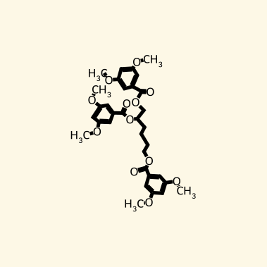 COc1cc(OC)cc(C(=O)OCCCCC(COC(=O)c2cc(OC)cc(OC)c2)OC(=O)c2cc(OC)cc(OC)c2)c1